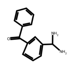 NC(N)c1cccc(C(=O)c2ccccc2)c1